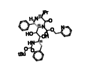 CC(C)[C@H](N)C(=O)N(C(=O)OCc1ccccn1)[C@@H](Cc1ccccc1)C(O)C(O)[C@H](Cc1ccccc1)NC(=O)OC(C)(C)C